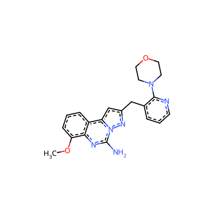 COc1cccc2c1nc(N)n1nc(Cc3cccnc3N3CCOCC3)cc21